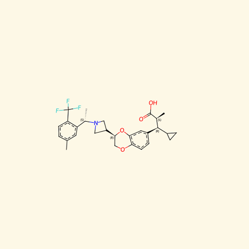 Cc1ccc(C(F)(F)F)c([C@H](C)N2CC([C@@H]3COc4ccc([C@H](C5CC5)[C@H](C)C(=O)O)cc4O3)C2)c1